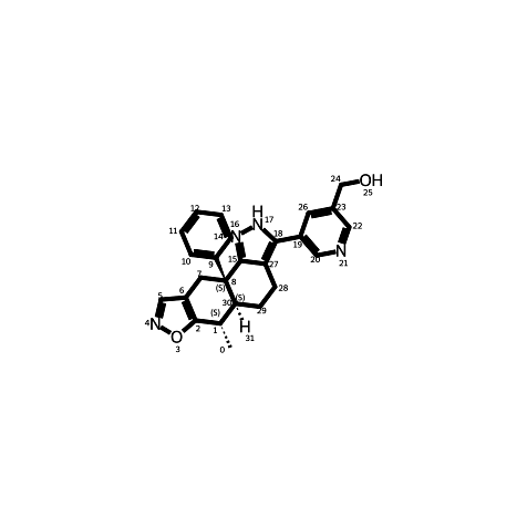 C[C@@H]1c2oncc2C[C@]2(c3ccccc3)c3n[nH]c(-c4cncc(CO)c4)c3CC[C@@H]12